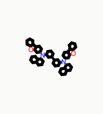 c1cc(-c2cccc(N(c3ccc4c(c3)oc3ccccc34)c3cccc4ccccc34)c2)cc(N(c2ccc3c(c2)oc2ccccc23)c2cccc3ccccc23)c1